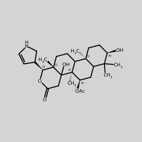 CC(=O)O[C@@H]1CC2C(C)(C)[C@H](O)CC[C@]2(C)C2CC[C@@]3(C)[C@H](C4C=CNC4)OC(=O)CC3(O)[C@@]21C